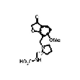 COc1ccc2c(c1CN1CCC[C@@H]1CNC(=O)O)OCC2=O